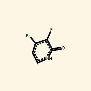 O=c1[nH]ccc(Br)c1F